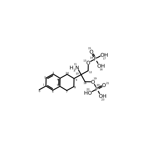 Cc1ccc2c(c1)CCC(C(N)(COP(=O)(O)O)COP(=O)(O)O)C2